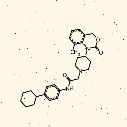 Cc1cccc2c1N(C1CCN(CC(=O)Nc3ccc(C4CCCCC4)cc3)CC1)C(=O)OC2